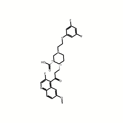 COc1ccc2ncc(F)c(C(=O)CC[C@H]3CCN(CCSc4cc(F)cc(F)c4)C[C@H]3C(=O)O)c2c1